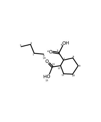 CCCC.O=C(O)C1CCCCC1C(=O)O